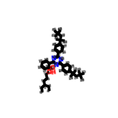 CCC(CC)CCCOC1(O)C=CC=CC1c1nc(-c2ccc(C(C)(C)CC(C)(C)C)cc2)nc(-c2ccc(C(C)(C)CC(C)(C)C)cc2)n1